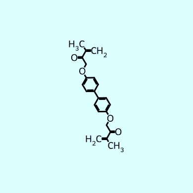 C=C(C)C(=O)COc1ccc(-c2ccc(OCC(=O)C(=C)C)cc2)cc1